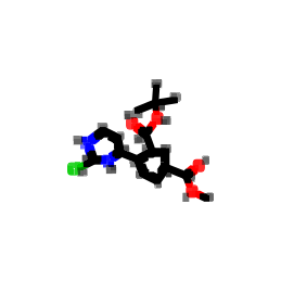 COC(=O)c1ccc(-c2ccnc(Cl)n2)c(C(=O)OC(C)(C)C)c1